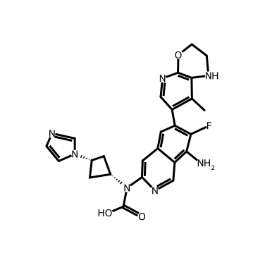 Cc1c(-c2cc3cc(N(C(=O)O)[C@H]4C[C@@H](n5ccnc5)C4)ncc3c(N)c2F)cnc2c1NCCO2